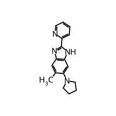 Cc1cc2nc(-c3ccccn3)[nH]c2cc1N1CCCC1